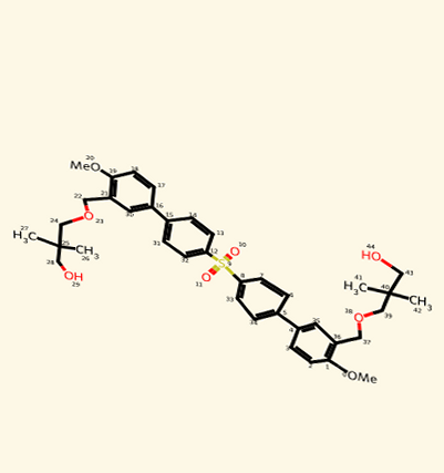 COc1ccc(-c2ccc(S(=O)(=O)c3ccc(-c4ccc(OC)c(COCC(C)(C)CO)c4)cc3)cc2)cc1COCC(C)(C)CO